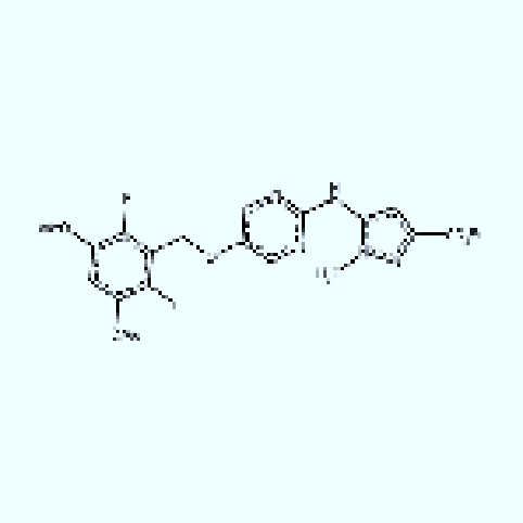 CCOC(=O)c1cc(Nc2ncc(OCc3c(F)c(OC)cc(OC)c3F)cn2)n(C)n1